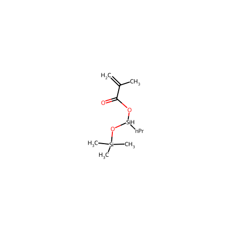 C=C(C)C(=O)O[SiH](CCC)O[Si](C)(C)C